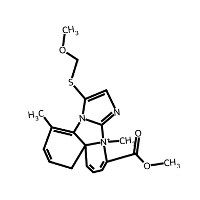 COCSc1cnc2n1C1=C(C)C=CCC13C=CC=C(C(=O)OC)[N+]23C